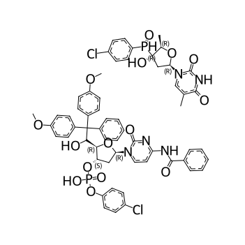 COc1ccc(C(c2ccccc2)(c2ccc(OC)cc2)C(O)[C@H]2O[C@@H](n3ccc(NC(=O)c4ccccc4)nc3=O)C[C@@H]2OP(=O)(O)Oc2ccc(Cl)cc2)cc1.Cc1cn([C@H]2C[C@@](O)([PH](=O)c3ccc(Cl)cc3)[C@@H](C)O2)c(=O)[nH]c1=O